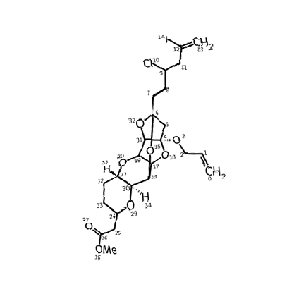 C=CCO[C@]12C[C@]3(CCC(Cl)CC(=C)I)OC4C(O1)C(O[C@H]1CCC(CC(=O)OC)O[C@H]41)C2O3